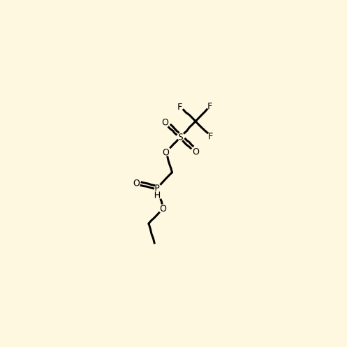 CCO[PH](=O)COS(=O)(=O)C(F)(F)F